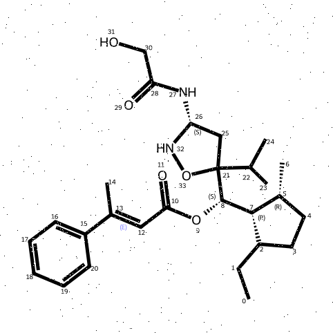 CCC1CC[C@@H](C)[C@H]1[C@H](OC(=O)/C=C(\C)c1ccccc1)C1(C(C)C)C[C@@H](NC(=O)CO)NO1